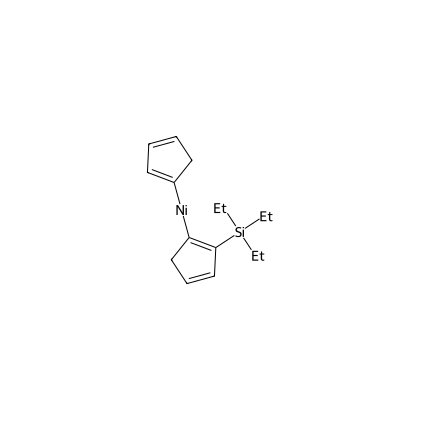 CC[Si](CC)(CC)C1=[C]([Ni][C]2=CC=CC2)CC=C1